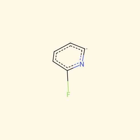 Fc1ccc[c]n1